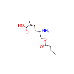 CC=CC(=O)OCC(N)CC=C(C)C(=O)O